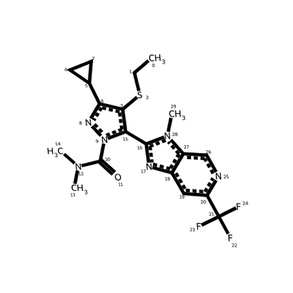 CCSc1c(C2CC2)nn(C(=O)N(C)C)c1-c1nc2cc(C(F)(F)F)ncc2n1C